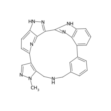 Cn1ncc2c1CNCc1cccc(c1)-c1cccc3[nH]c(nc13)-c1n[nH]c3ccc-2nc13